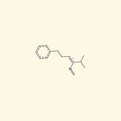 C=N/C(=C\CCc1ccccc1)C(C)C